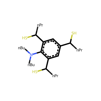 CCCCN(CCCC)c1c(C(S)CCC)cc(C(S)CCC)cc1C(S)CCC